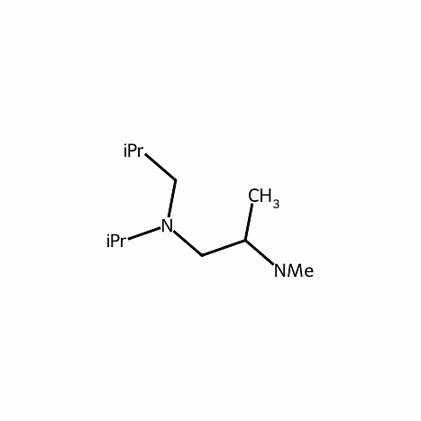 CNC(C)CN(CC(C)C)C(C)C